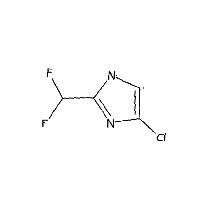 FC(F)C1=NC(Cl)=[C][N]1